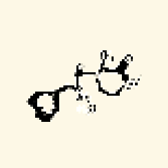 CC1C(=O)NCCN1C(=O)[C@@H](N)Cc1ccccc1.O